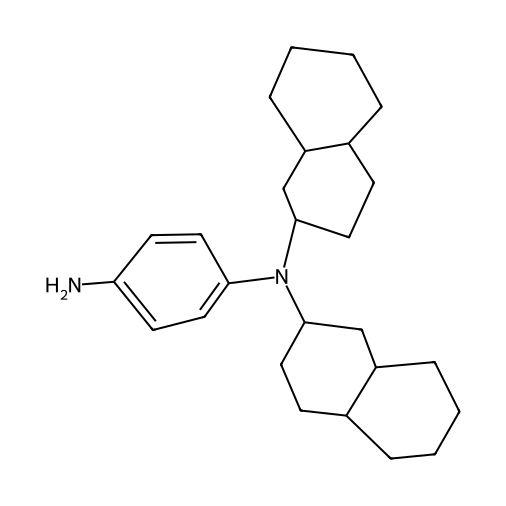 Nc1ccc(N(C2CCC3CCCCC3C2)C2CCC3CCCCC3C2)cc1